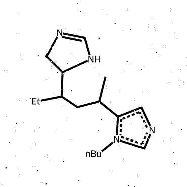 CCCCn1cncc1C(C)CC(CC)C1CN=CN1